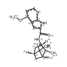 COc1ccnc2[nH]c(C(=O)N[C@H]3C[C@H]4C[C@@H]([C@@H]3C)C4(C)C)cc12